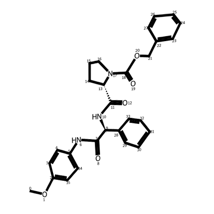 COc1ccc(NC(=O)[C@@H](NC(=O)[C@@H]2CCCN2C(=O)OCc2ccccc2)c2ccccc2)cc1